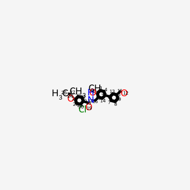 COc1ccc(-c2cccc(C=O)c2)cc1CNC(=O)c1ccc(OC(C)C)cc1Cl